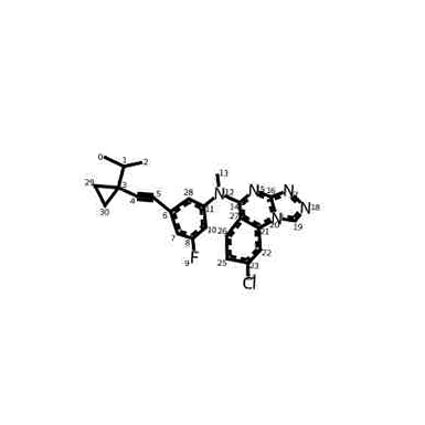 CC(C)C1(C#Cc2cc(F)cc(N(C)c3nc4nncn4c4cc(Cl)ccc34)c2)CC1